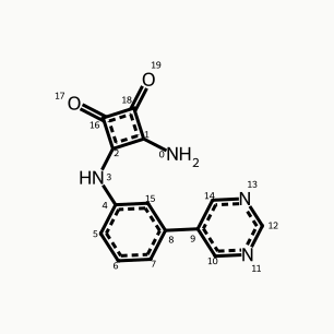 Nc1c(Nc2cccc(-c3cncnc3)c2)c(=O)c1=O